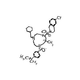 C[C@H]1CN([S+]([O-])c2ccc(N(C)C)cc2)CCCN(CC2CCCCC2)CCCN(S(=O)(=O)N2CCc3cc(Cl)ccc3C2)C1